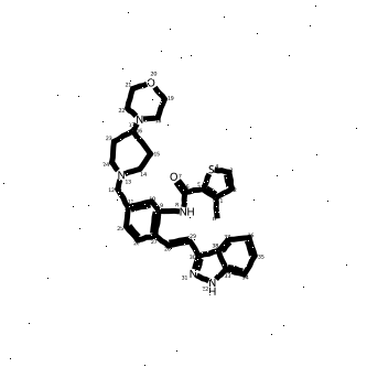 Cc1ccsc1C(=O)Nc1cc(CN2CCC(N3CCOCC3)CC2)ccc1C=Cc1n[nH]c2ccccc12